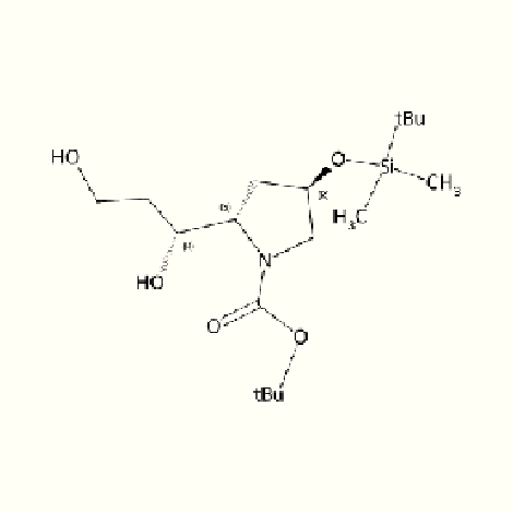 CC(C)(C)OC(=O)N1C[C@H](O[Si](C)(C)C(C)(C)C)C[C@H]1[C@H](O)CCO